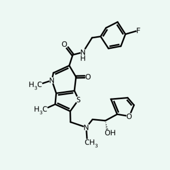 Cc1c(CN(C)C[C@@H](O)c2ccco2)sc2c(=O)c(C(=O)NCc3ccc(F)cc3)cn(C)c12